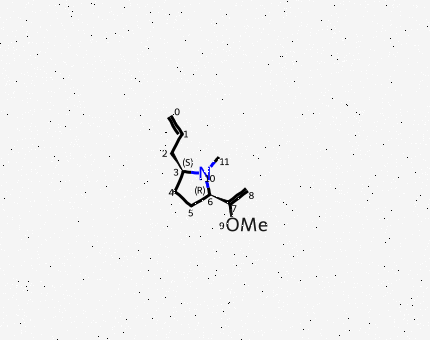 C=CC[C@@H]1CC[C@H](C(=C)OC)N1C